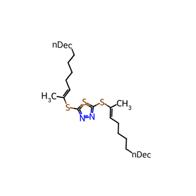 CCCCCCCCCCCCCCC=C(C)Sc1nnc(SC(C)=CCCCCCCCCCCCCCC)s1